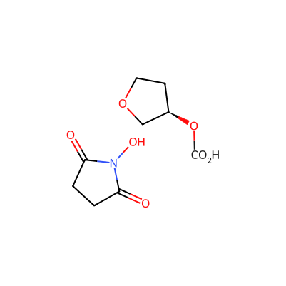 O=C(O)O[C@@H]1CCOC1.O=C1CCC(=O)N1O